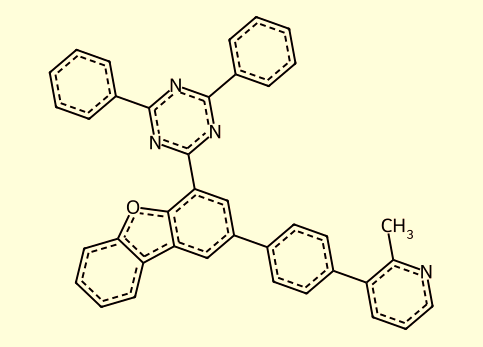 Cc1ncccc1-c1ccc(-c2cc(-c3nc(-c4ccccc4)nc(-c4ccccc4)n3)c3oc4ccccc4c3c2)cc1